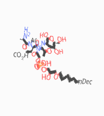 CCCCCCCCCCCCCCCCOCC(O)COP(=O)(O)OCC(=O)N(CC(C)O[C@@H]1[C@@H](N)[C@@H](O)O[C@H](CO)[C@H]1O)C(=O)[C@@H](CCC(=O)O)N(C(C)=O)C(=O)[C@H](C)N